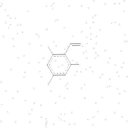 [2H]c1cc(C)cc([2H])c1C=O